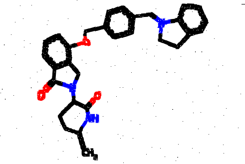 C=C1CCC(N2Cc3c(OCc4ccc(CN5CCc6ccccc65)cc4)cccc3C2=O)C(=O)N1